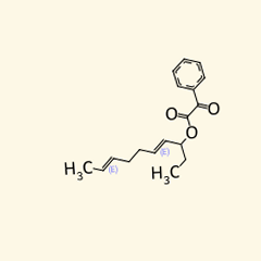 C/C=C/CC/C=C/C(CC)OC(=O)C(=O)c1ccccc1